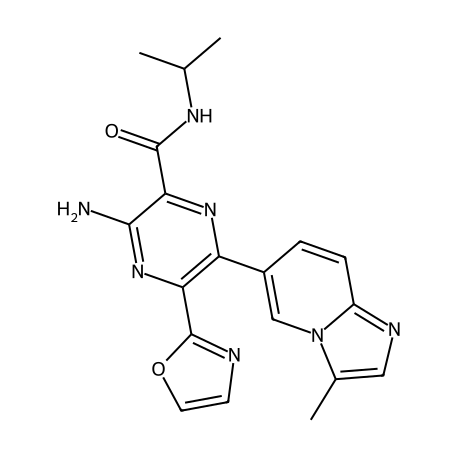 Cc1cnc2ccc(-c3nc(C(=O)NC(C)C)c(N)nc3-c3ncco3)cn12